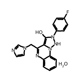 O.OC1=C2C(Cn3ccnc3)=Nc3ccccc3N2NN1c1ccc(F)cc1